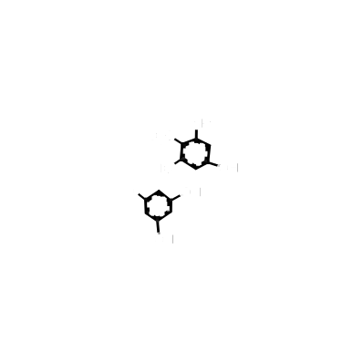 CCCc1cc(O)cc(O)c1C(=O)O.CCc1cc(O)cc(O)c1